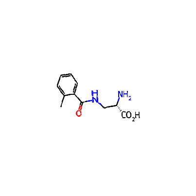 Cc1ccccc1C(=O)NC[C@H](N)C(=O)O